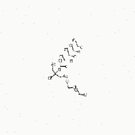 CC(=O)CC(Cl)(Cl)CC(C)=O.ClCCl.ClCCl.ClCCl.ClCCl.ClCCl.ClCCl.ClCCl